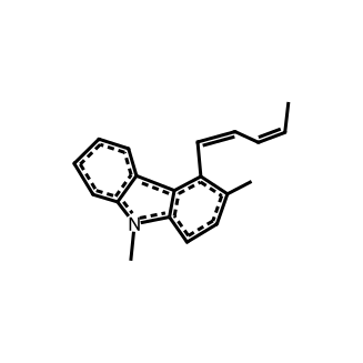 C/C=C\C=C/c1c(C)ccc2c1c1ccccc1n2C